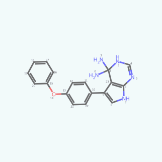 NC1(N)NC=Nc2[nH]cc(-c3ccc(Oc4ccccc4)cc3)c21